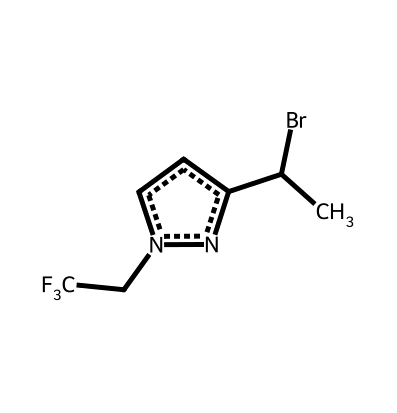 CC(Br)c1ccn(CC(F)(F)F)n1